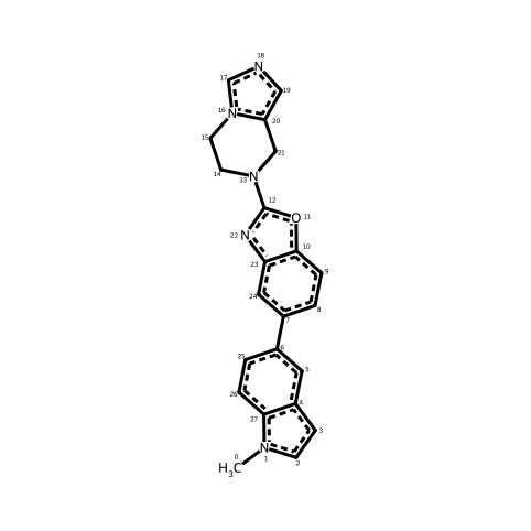 Cn1ccc2cc(-c3ccc4oc(N5CCn6cncc6C5)nc4c3)ccc21